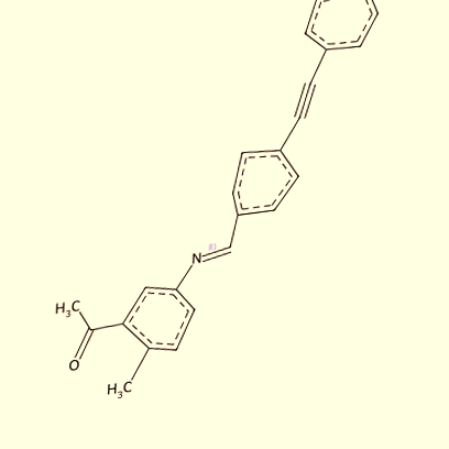 CC(=O)c1cc(/N=C/c2ccc(C#Cc3ccccc3)cc2)ccc1C